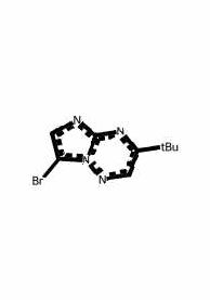 CC(C)(C)c1cnn2c(Br)cnc2n1